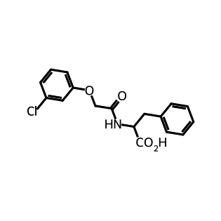 O=C(COc1cccc(Cl)c1)NC(Cc1ccccc1)C(=O)O